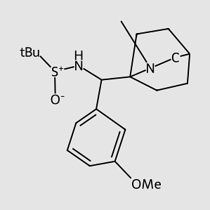 COc1cccc(C(N[S+]([O-])C(C)(C)C)C23CCC(CC2)CN3C)c1